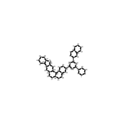 c1ccc(-c2nc(-c3ccc4ccccc4c3)nc(-c3ccc4c(ccc5ccc6cc7c(cc6c54)oc4ccccc47)c3)n2)cc1